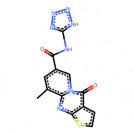 Cc1cc(C(=O)Nc2nnn[nH]2)cn2c(=O)c3ccsc3nc12